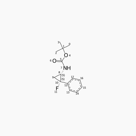 CC(C)(C)OC(=O)N[C@H]1C[C@]1(F)c1ccccc1